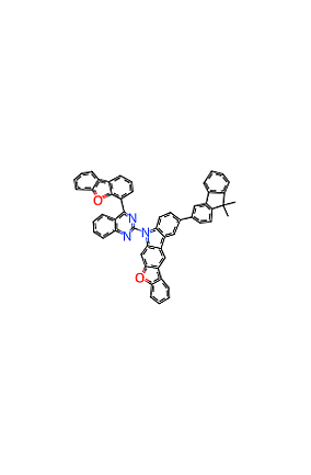 CC1(C)c2ccccc2-c2cc(-c3ccc4c(c3)c3cc5c(cc3n4-c3nc(-c4cccc6c4oc4ccccc46)c4ccccc4n3)oc3ccccc35)ccc21